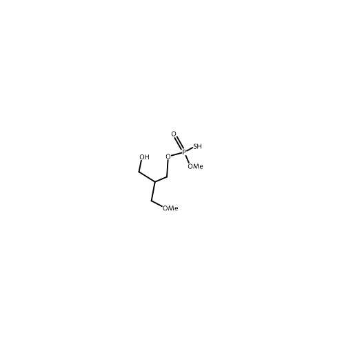 COCC(CO)COP(=O)(S)OC